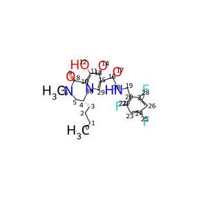 CCCC[C@@H]1CN(C)C(=O)c2c(O)c(=O)c(C(=O)NCc3c(F)cc(F)cc3F)cn21